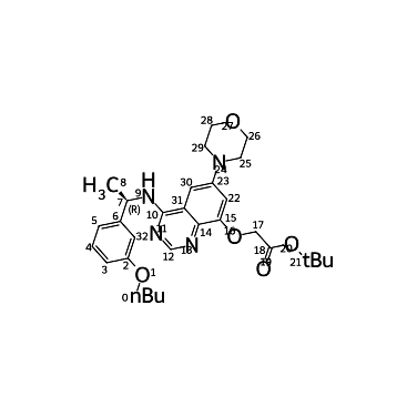 CCCCOc1cccc([C@@H](C)Nc2ncnc3c(OCC(=O)OC(C)(C)C)cc(N4CCOCC4)cc23)c1